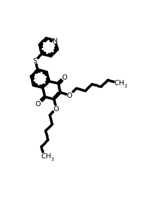 CCCCCCOC1=C(OCCCCCC)C(=O)c2cc(Sc3ccncc3)ccc2C1=O